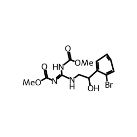 COC(=O)N=C(NCC(O)c1ccccc1Br)NC(=O)OC